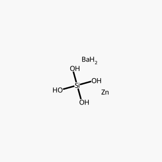 O[Si](O)(O)O.[BaH2].[Zn]